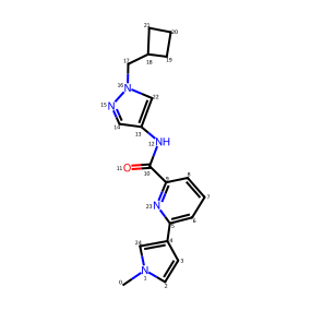 Cn1ccc(-c2cccc(C(=O)Nc3cnn(CC4CCC4)c3)n2)c1